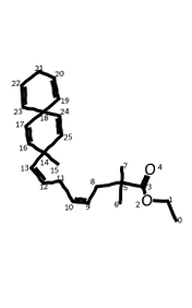 CCOC(=O)C(C)(C)C/C=C\C/C=C\C1(C)C=CC2(C=CCC=C2)C=C1